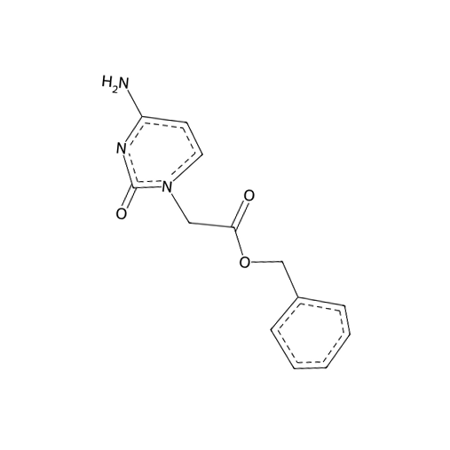 Nc1ccn(CC(=O)OCc2ccccc2)c(=O)n1